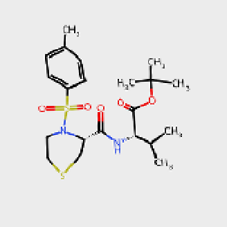 Cc1ccc(S(=O)(=O)N2CCSC[C@H]2C(=O)N[C@H](C(=O)OC(C)(C)C)C(C)C)cc1